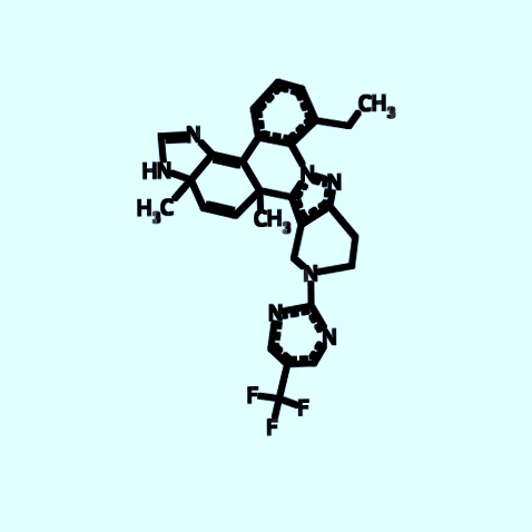 CCc1cccc2c1-n1nc3c(c1C1(C)C=CC4(C)NC=NC4=C21)CN(c1ncc(C(F)(F)F)cn1)CC3